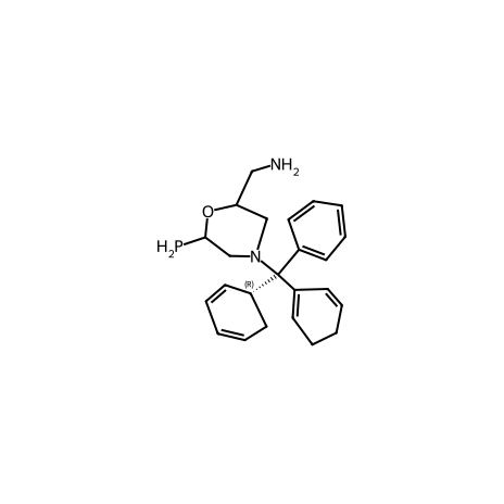 NCC1CN(C(C2=CCCC=C2)(c2ccccc2)[C@H]2C=CC=CC2)CC(P)O1